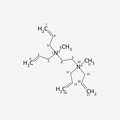 C=CC[N+](C)(CC=C)CC[N+](C)(CC=C)CC=C